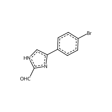 O=Cc1nc(-c2ccc(Br)cc2)c[nH]1